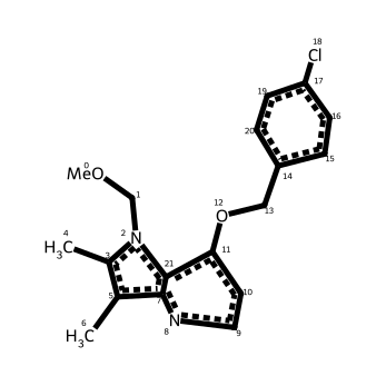 COCn1c(C)c(C)c2nccc(OCc3ccc(Cl)cc3)c21